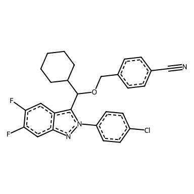 N#Cc1ccc(COC(c2c3cc(F)c(F)cc3nn2-c2ccc(Cl)cc2)C2CCCCC2)cc1